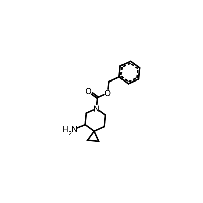 NC1CN(C(=O)OCc2ccccc2)CCC12CC2